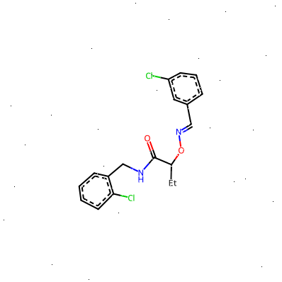 CCC(O/N=C/c1cccc(Cl)c1)C(=O)NCc1ccccc1Cl